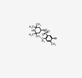 Cc1cc(C)c(S(=O)(=O)NC2CC(C)(C)NC(C)(C)C2)cc1Br